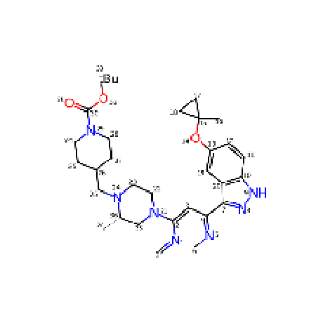 C=N/C(=C\C(=N/C)c1n[nH]c2ccc(OC3(C)CC3)cc12)N1CCN(CC2CCN(C(=O)OC(C)(C)C)CC2)[C@@H](C)C1